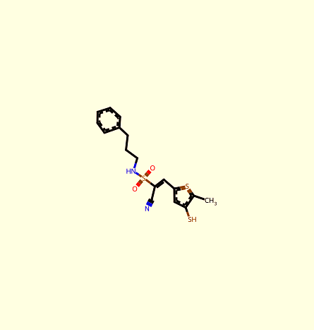 Cc1sc(C=C(C#N)S(=O)(=O)NCCCc2ccccc2)cc1S